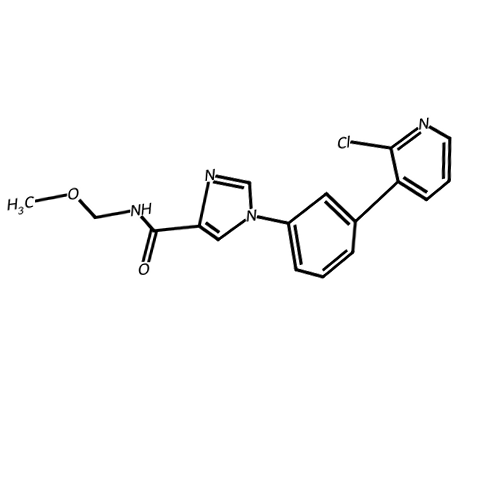 COCNC(=O)c1cn(-c2cccc(-c3cccnc3Cl)c2)cn1